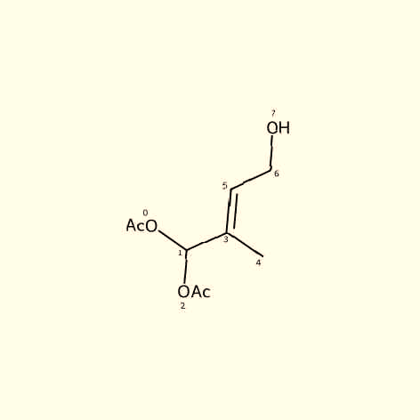 CC(=O)OC(OC(C)=O)C(C)=CCO